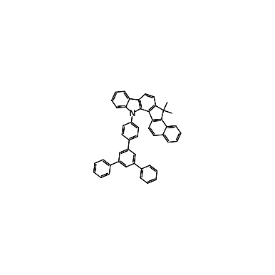 CC1(C)c2ccc3c4ccccc4n(-c4ccc(-c5cc(-c6ccccc6)cc(-c6ccccc6)c5)cc4)c3c2-c2ccc3ccccc3c21